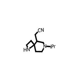 CC(C)N1CCC2(CCN2)C(CC#N)C1